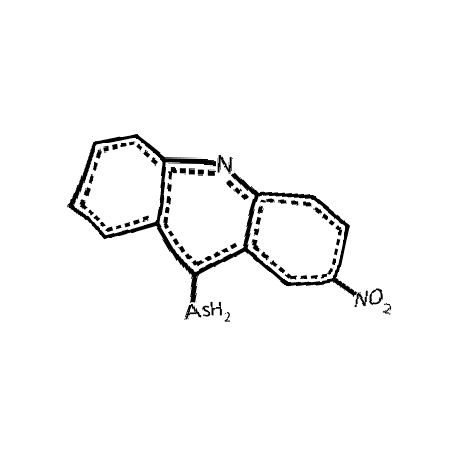 O=[N+]([O-])c1ccc2nc3ccccc3c([AsH2])c2c1